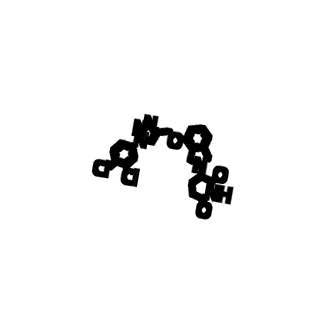 O=C1CCC(N2Cc3cccc(OCc4cn(-c5ccc(Cl)c(Cl)c5)nn4)c3C2)C(=O)N1